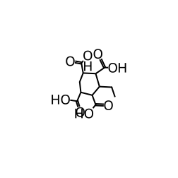 CCC1C(C(=O)O)C(C(=O)O)CC(C(=O)O)C1C(=O)O